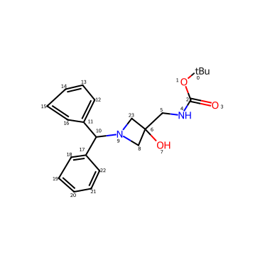 CC(C)(C)OC(=O)NCC1(O)CN(C(c2ccccc2)c2ccccc2)C1